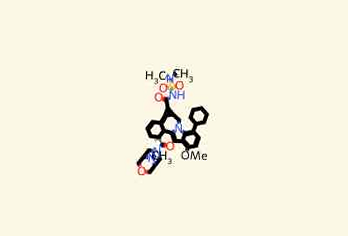 COc1ccc(C2CCCCC2)c2c1cc1n2CC2=C(C(=O)NS(=O)(=O)N(C)C)C2=C2C=CC[C@@H](C(=O)N3CC4COCC(C3)N4C)C21